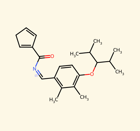 Cc1c(/C=N\C(=O)C2=CCC=C2)ccc(OC(C(C)C)C(C)C)c1C